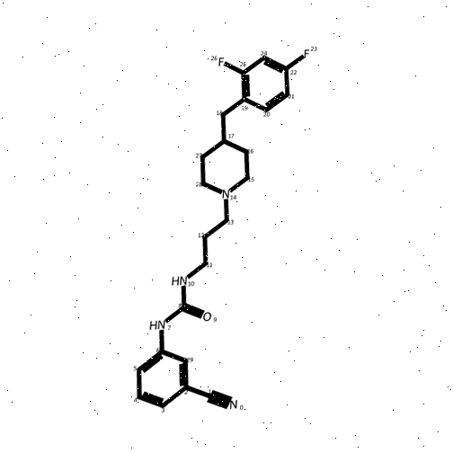 N#Cc1cccc(NC(=O)NCCCN2CCC(Cc3ccc(F)cc3F)CC2)c1